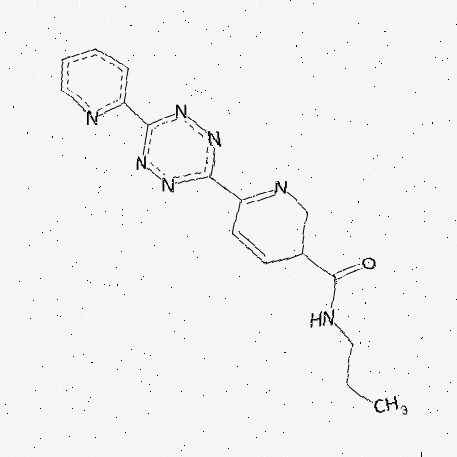 CCCNC(=O)C1C=CC(c2nnc(-c3ccccn3)nn2)=NC1